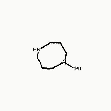 CC(C)(C)N1CCCNCCC1